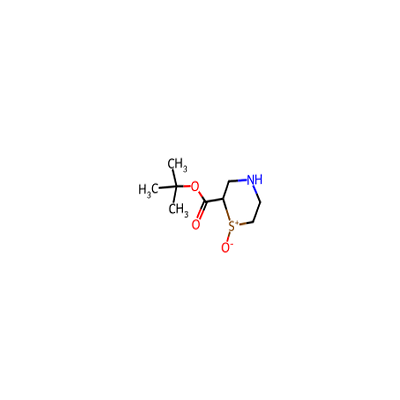 CC(C)(C)OC(=O)C1CNCC[S+]1[O-]